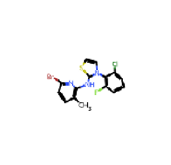 Cc1ccc(Br)nc1NC1SC=CN1c1c(F)cccc1Cl